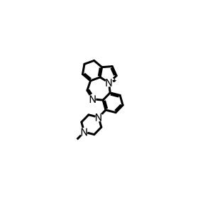 CN1CCN(c2cccc3c2N=CC2=CCCC4=C2[N+]3(C)C=C4)CC1